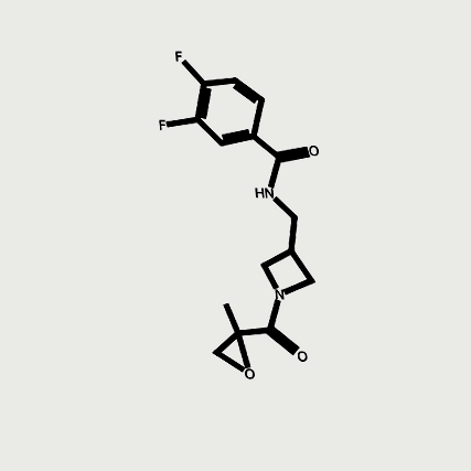 CC1(C(=O)N2CC(CNC(=O)c3ccc(F)c(F)c3)C2)CO1